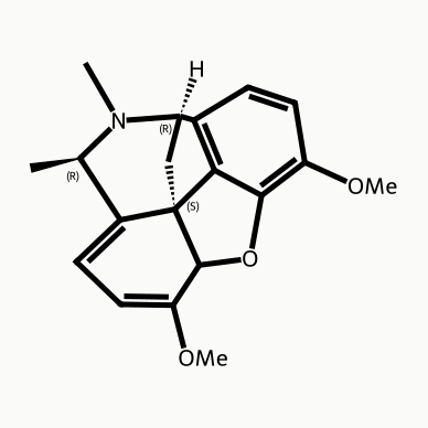 COC1=CC=C2[C@@H](C)N(C)[C@@H]3C[C@@]24c2c3ccc(OC)c2OC14